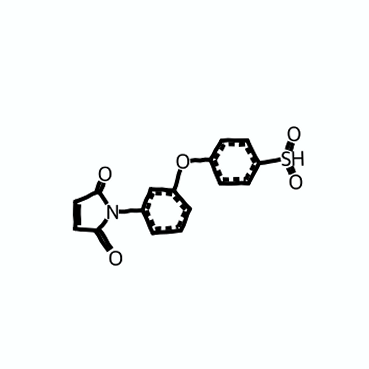 O=C1C=CC(=O)N1c1cccc(Oc2ccc([SH](=O)=O)cc2)c1